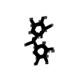 Cc1cc(N(C)c2cc(C)c(C)c(C)c2)cc(C)c1C